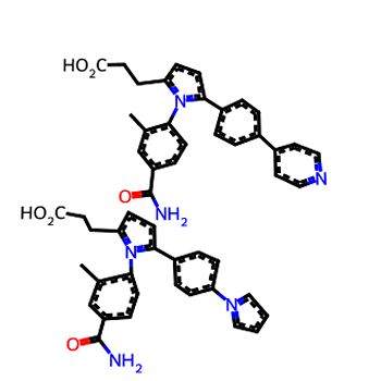 Cc1cc(C(N)=O)ccc1-n1c(CCC(=O)O)ccc1-c1ccc(-c2ccncc2)cc1.Cc1cc(C(N)=O)ccc1-n1c(CCC(=O)O)ccc1-c1ccc(-n2cccc2)cc1